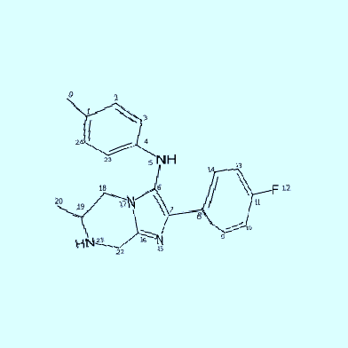 Cc1ccc(Nc2c(-c3ccc(F)cc3)nc3n2CC(C)NC3)cc1